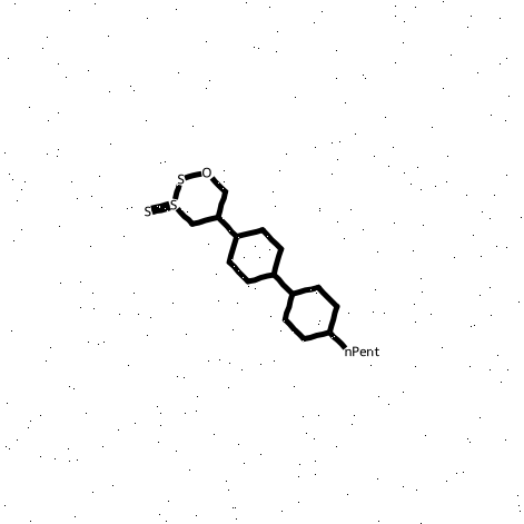 CCCCCC1CCC(C2CCC(C3COSS(=S)C3)CC2)CC1